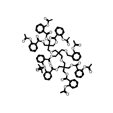 CC(=O)Oc1ccccc1COCC(COCC(COC(=O)c1ccccc1OC(C)=O)(COC(=O)c1ccccc1OC(C)=O)COC(=O)c1ccccc1OC(C)=O)(COCC(COC(=O)c1ccccc1OC(C)=O)(COC(=O)c1ccccc1OC(C)=O)COC(=O)c1ccccc1OC(C)=O)COC(=O)c1ccccc1OC(C)=O